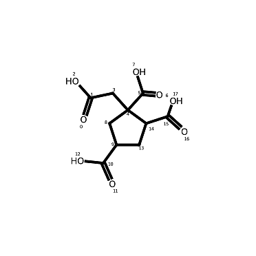 O=C(O)CC1(C(=O)O)CC(C(=O)O)CC1C(=O)O